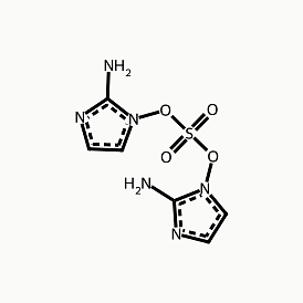 Nc1nccn1OS(=O)(=O)On1ccnc1N